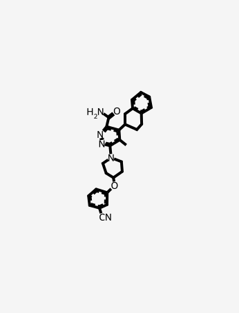 Cc1c(N2CCC(Oc3cccc(C#N)c3)CC2)nnc(C(N)=O)c1C1CCc2ccccc2C1